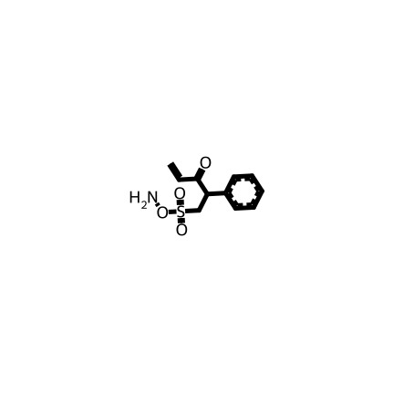 C=CC(=O)C(CS(=O)(=O)ON)c1ccccc1